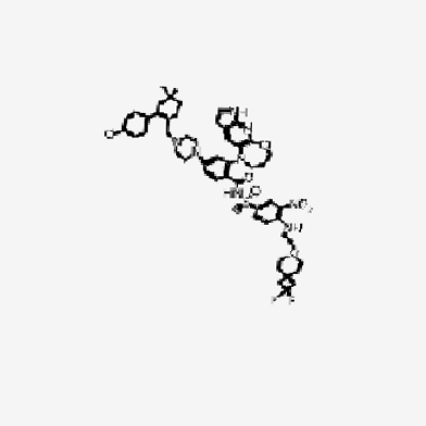 CC1(C)CCC(CN2CCN(c3ccc(C(=O)NS(=O)(=O)c4ccc(NCCN5CCC6(CC5)CC(F)(F)C6)c([N+](=O)[O-])c4)c(N4CCCOc5nc6[nH]ccc6cc54)c3)CC2)=C(c2ccc(Cl)cc2)C1